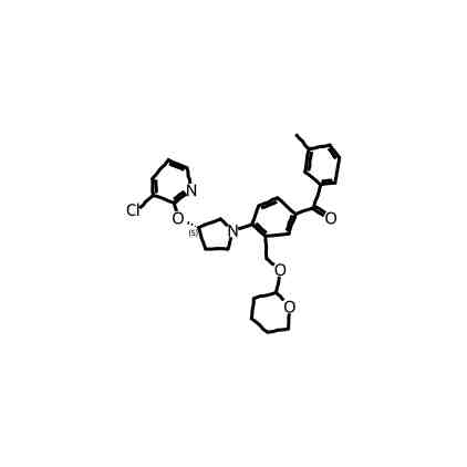 Cc1cccc(C(=O)c2ccc(N3CC[C@H](Oc4ncccc4Cl)C3)c(COC3CCCCO3)c2)c1